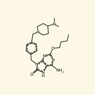 CCCCOc1nc(N)c2[nH]c(=O)n(Cc3ccc(CN4CCC(N(C)C)CC4)cc3)c2n1